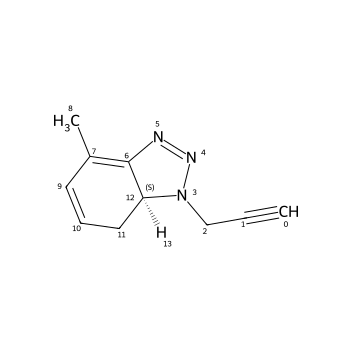 C#CCN1N=NC2=C(C)C=CC[C@@H]21